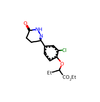 CCOC(=O)C(CC)Oc1ccc(C2=NNC(=O)CC2)cc1Cl